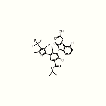 CC(C)OC(=O)c1cc(-c2nn(C)c(C(F)(F)F)c2Br)c(F)cc1Cl.O=C(O)Cn1c(=O)sc2cccc(Cl)c21